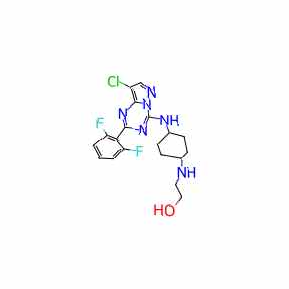 OCCNC1CCC(Nc2nc(-c3c(F)cccc3F)nc3c(Cl)cnn23)CC1